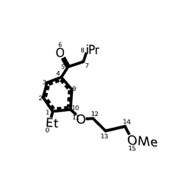 CCc1ccc(C(=O)CC(C)C)cc1OCCCOC